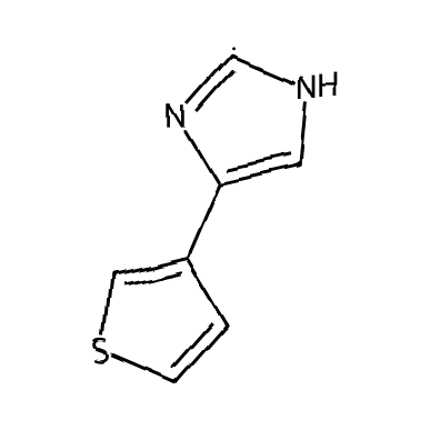 [c]1nc(-c2ccsc2)c[nH]1